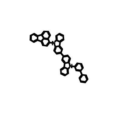 c1ccc(-c2cccc(-n3c4ccccc4c4cc(-c5ccc6c(c5)c5ccccc5n6-c5ccc6c7c(cccc57)-c5ccccc5-6)ccc43)c2)cc1